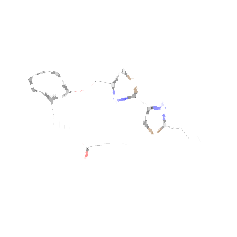 CC(=O)O.CCc1nc(-c2nc(COc3ccccc3C)cs2)cs1